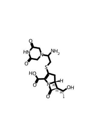 C[C@@H](O)[C@H]1C(=O)N2C(C(=O)O)=C(SCC(N)N3CC(=O)NC(=O)C3)C[C@H]12